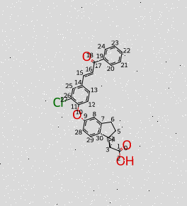 O=C(O)C[C@@H]1CCc2cc(Oc3ccc(C=CC(=O)c4ccccc4)cc3Cl)ccc21